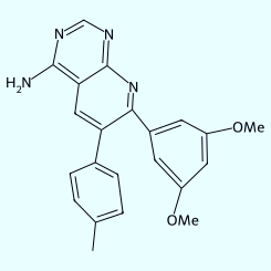 COc1cc(OC)cc(-c2nc3ncnc(N)c3cc2-c2ccc(C)cc2)c1